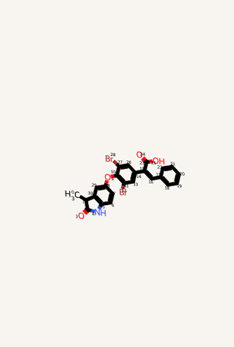 CC1C(=O)Nc2ccc(Oc3c(Br)cc(C(=Cc4ccccc4)C(=O)O)cc3Br)cc21